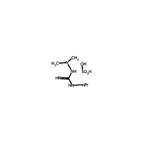 CCCNC(=N)NN(C)C.O=S(=O)(O)O